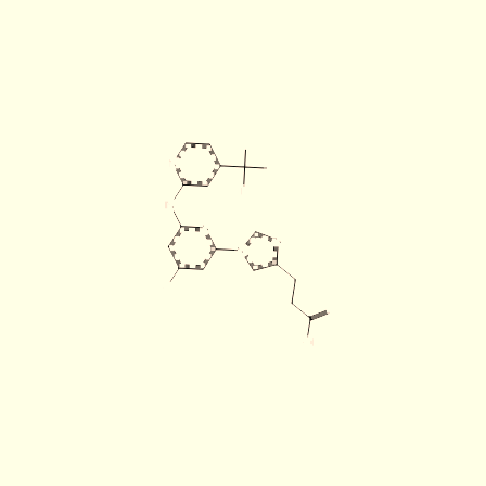 Cc1cc(Nc2cc(C(F)(F)F)ccn2)nc(-n2cnc(CCC(=O)O)c2)c1